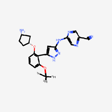 [2H]C([2H])([2H])Oc1cccc(O[C@@H]2CC[C@H](N)C2)c1-c1cc(Nc2cnc(C#N)cn2)n[nH]1